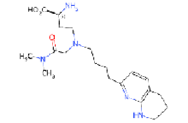 CN(C)C(=O)CN(CCCCc1ccc2c(n1)NCCC2)CC[C@H](N)C(=O)O